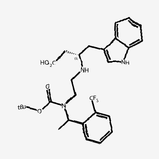 CC(c1ccccc1C(F)(F)F)N(CCN[C@H](CC(=O)O)Cc1c[nH]c2ccccc12)C(=O)OC(C)(C)C